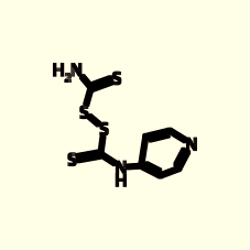 NC(=S)SSC(=S)Nc1ccncc1